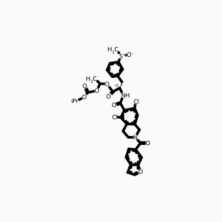 CC(C)OC(=O)OC(C)OC(=O)[C@H](Cc1cccc([S+](C)[O-])c1)NC(=O)c1c(Cl)cc2c(c1Cl)CCN(C(=O)c1ccc3ccoc3c1)C2